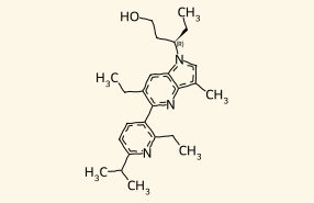 CCc1cc2c(nc1-c1ccc(C(C)C)nc1CC)c(C)cn2[C@H](CC)CCO